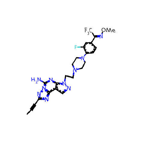 CC#Cc1nc2c3cnn(CCN4CCN(c5ccc(/C(=N/OC)C(F)(F)F)cc5F)CC4)c3nc(N)n2n1